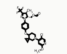 COc1cc(N2CCC(Oc3ccc(N4N=C(C(F)(F)F)[C@@H](C)[C@@H]4COC=O)cc3)C3(CC3)C2)c(Cl)cn1